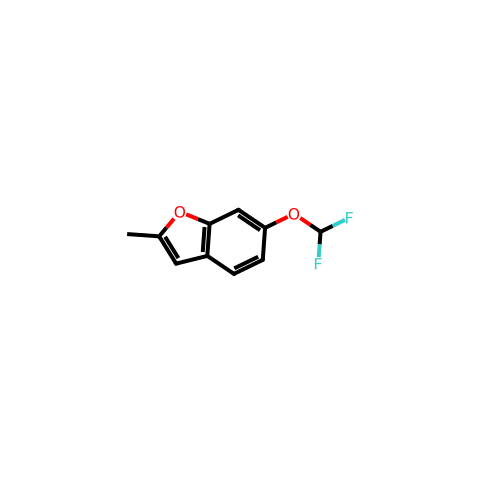 Cc1cc2ccc(OC(F)F)cc2o1